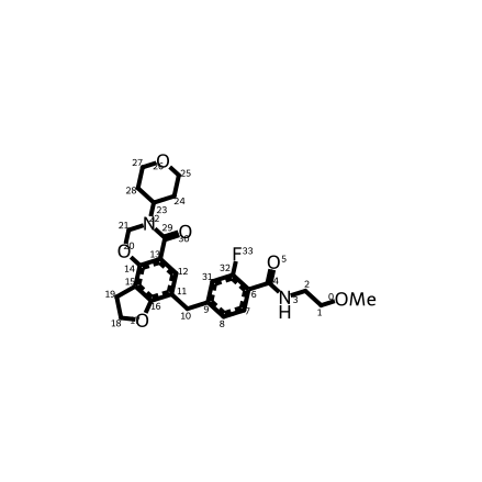 COCCNC(=O)c1ccc(Cc2cc3c(c4c2OCC4)OCN(C2CCOCC2)C3=O)cc1F